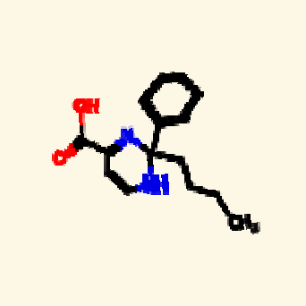 CCCCC1(c2ccccc2)N=C(C(=O)O)C=CN1